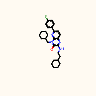 O=c1c(NCCC2CCCCC2)nc2ccc(-c3ccc(F)cc3)nc2n1CC1CCCCC1